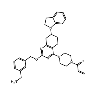 C=CC(=O)N1CCN(c2nc(OCc3cccc(CN)c3)nc3c2CCC(N2CCc4ccccc42)C3)CC1